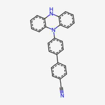 N#Cc1ccc(-c2ccc(N3c4ccccc4Nc4ccccc43)cc2)cc1